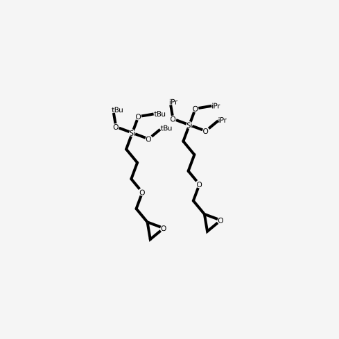 CC(C)(C)O[Si](CCCOCC1CO1)(OC(C)(C)C)OC(C)(C)C.CC(C)O[Si](CCCOCC1CO1)(OC(C)C)OC(C)C